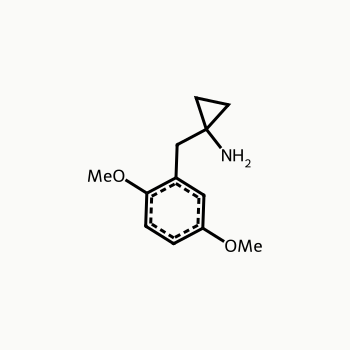 COc1ccc(OC)c(CC2(N)CC2)c1